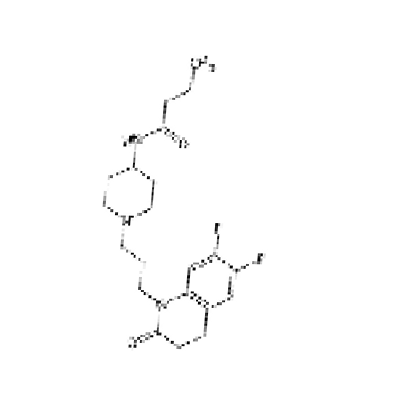 CCCC(=O)NC1CCN(CCCN2C(=O)CCc3cc(F)c(F)cc32)CC1